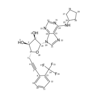 O[C@@H]1[C@H](O)[C@@H](CC#Cc2ccccc2C(F)(F)F)O[C@H]1n1cnc2c(NC3CCCC3)ncnc21